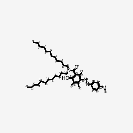 CCCCCCCCCCCCN(CCCCCCCCCCCC)C(=O)c1c(C)c(N=Nc2ccc(OC)cc2)c(C)c(C)c1O